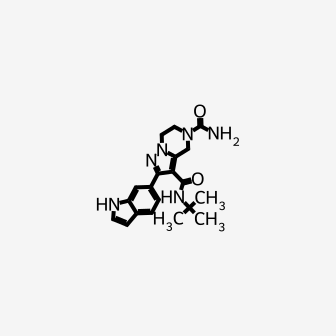 CC(C)(C)NC(=O)c1c(-c2ccc3cc[nH]c3c2)nn2c1CN(C(N)=O)CC2